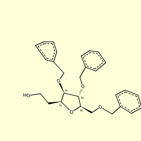 OCC[C@@H]1O[C@H](COCc2ccccc2)[C@@H](OCc2ccccc2)[C@@H]1OCc1ccccc1